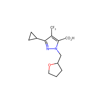 O=C(O)c1c(C(F)(F)F)c(C2CC2)nn1CC1CCCO1